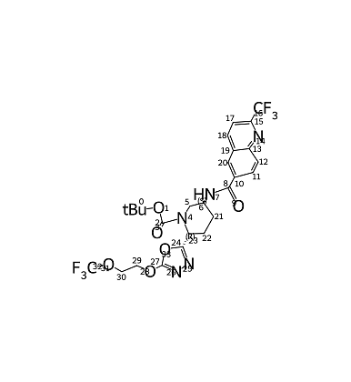 CC(C)(C)OC(=O)N1C[C@@H](NC(=O)c2ccc3nc(C(F)(F)F)ccc3c2)CC[C@@H]1c1nnc(OCCOC(F)(F)F)o1